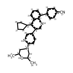 CC1CN(c2ccc(-c3cnc4c(-c5ccc(C#N)cc5)cccc4c3C3CCCC3)cn2)CC(C)O1